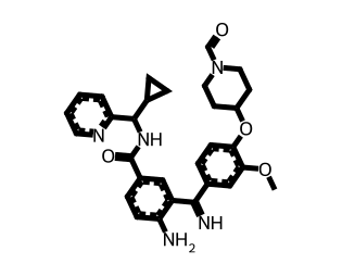 COc1cc(C(=N)c2cc(C(=O)NC(c3ccccn3)C3CC3)ccc2N)ccc1OC1CCN(C=O)CC1